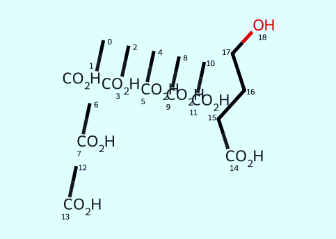 CC(=O)O.CC(=O)O.CC(=O)O.CC(=O)O.CC(=O)O.CC(=O)O.CC(=O)O.O=C(O)CCCO